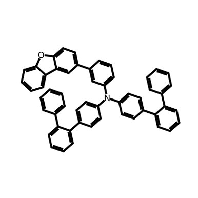 c1ccc(-c2ccccc2-c2ccc(N(c3ccc(-c4ccccc4-c4ccccc4)cc3)c3cccc(-c4ccc5oc6ccccc6c5c4)c3)cc2)cc1